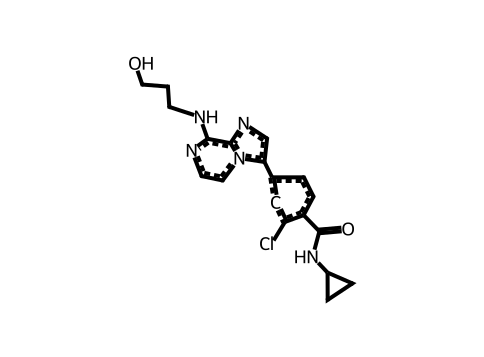 O=C(NC1CC1)c1ccc(-c2cnc3c(NCCCO)nccn23)cc1Cl